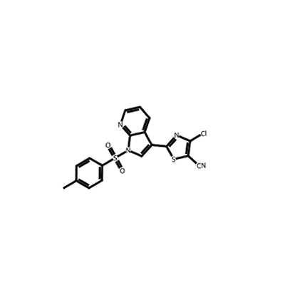 Cc1ccc(S(=O)(=O)n2cc(-c3nc(Cl)c(C#N)s3)c3cccnc32)cc1